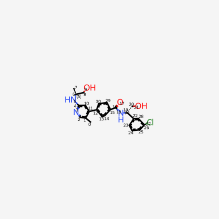 Cc1cnc(N[C@@H](C)CO)cc1-c1ccc(C(=O)N[C@H](CO)c2cccc(Cl)c2)cc1